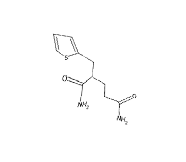 NC(=O)CCC(Cc1cccs1)C(N)=O